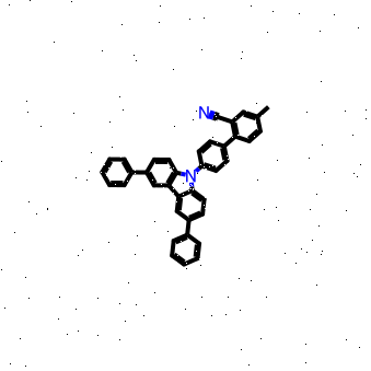 Cc1ccc(-c2ccc(-n3c4ccc(-c5ccccc5)cc4c4cc(-c5ccccc5)ccc43)cc2)c(C#N)c1